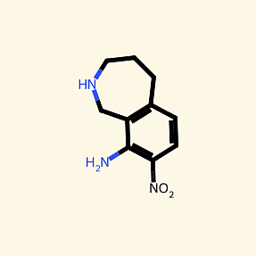 Nc1c([N+](=O)[O-])ccc2c1CNCCC2